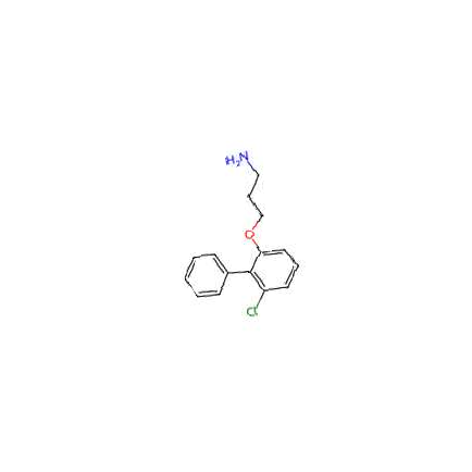 NCCCOc1cccc(Cl)c1-c1ccccc1